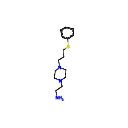 NCCN1CCN(CCCSc2ccccc2)CC1